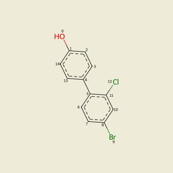 Oc1ccc(-c2ccc(Br)cc2Cl)cc1